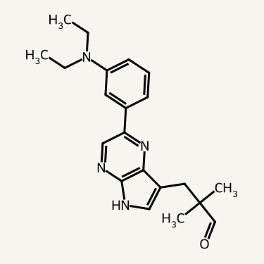 CCN(CC)c1cccc(-c2cnc3[nH]cc(CC(C)(C)C=O)c3n2)c1